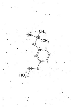 CC(C)(C)[Si](C)(C)Oc1cccc(CNC(=O)O)c1